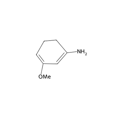 COC1=CCCC(N)=C1